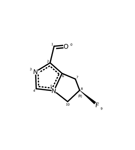 O=Cc1ncn2c1C[C@@H](F)C2